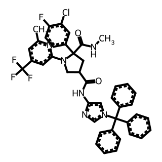 CNC(=O)C1(c2ccc(F)c(Cl)c2)CC(C(=O)Nc2cn(C(c3ccccc3)(c3ccccc3)c3ccccc3)cn2)CN1c1cc(C(F)(F)F)cc(C)n1